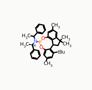 Cc1cc2c(c(C(C)(C)C)c1)C1CC(C)(C)c3cc(C)cc(c31)OP(N(C(C)c1ccccc1)[C@H](C)c1ccccc1)O2